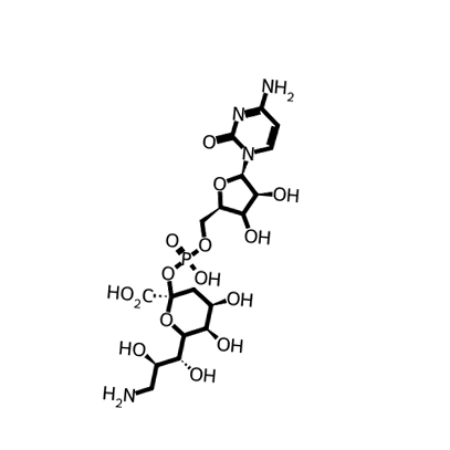 NC[C@@H](O)[C@@H](O)C1O[C@](OP(=O)(O)OC[C@H]2O[C@@H](n3ccc(N)nc3=O)[C@@H](O)C2O)(C(=O)O)C[C@@H](O)[C@H]1O